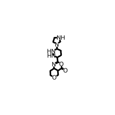 O=C1OC(C2CCC(N3CCNC3)NN2)=NC2CCOCC12